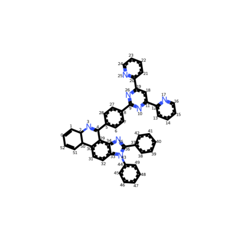 C1=CC2N=C(c3ccc(-c4nc(-c5ccccn5)cc(-c5ccccn5)n4)cc3)c3c(ccc4c3nc(-c3ccccc3)n4-c3ccccc3)C2C=C1